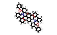 CC1CC=c2c(oc3ccccc23)=C1N(c1ccccc1-c1ccccc1)c1ccc2ccc3c(N(c4ccccc4-c4ccccc4)c4cccc5c4oc4ccccc45)ccc4ccc1c2c43